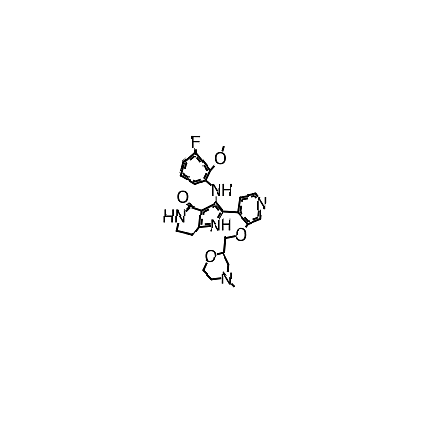 COc1c(F)cccc1Nc1c(-c2ccncc2OCC2CN(C)CCO2)[nH]c2c1C(=O)NCC2